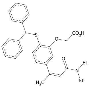 CCN(CC)C(=O)/C=C(/C)c1ccc(SC(c2ccccc2)c2ccccc2)c(OCC(=O)O)c1